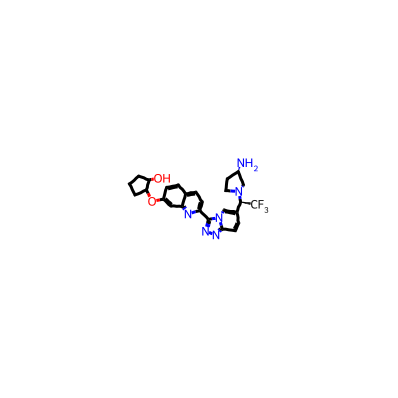 N[C@H]1CCN([C@H](c2ccc3nnc(-c4ccc5ccc(OC6CCCC6O)cc5n4)n3c2)C(F)(F)F)C1